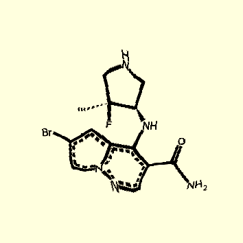 C[C@]1(F)CNC[C@H]1Nc1c(C(N)=O)cnn2cc(Br)cc12